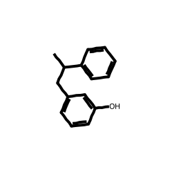 CC(Cc1cccc(O)c1)c1ccccc1